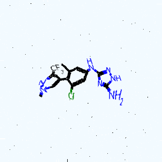 Cc1cc(Nc2n[nH]c(N)n2)cc(Cl)c1-c1cn(C)nc1C(F)(F)F